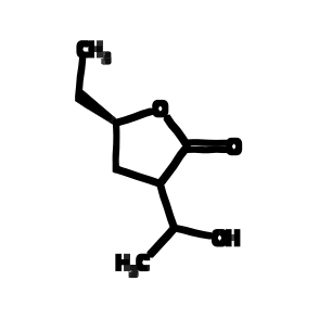 CC[C@@H]1CC(C(C)O)C(=O)O1